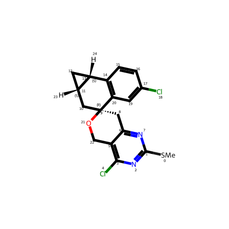 CSc1nc(Cl)c2c(n1)C[C@@]1(C[C@@H]3C[C@@H]3c3ccc(Cl)cc31)OC2